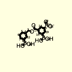 O=C(OCc1cccc(B(O)O)c1)c1cc(B(O)O)cc([N+](=O)[O-])c1